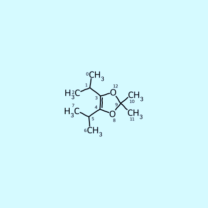 CC(C)C1=C(C(C)C)OC(C)(C)O1